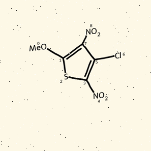 COc1sc([N+](=O)[O-])c(Cl)c1[N+](=O)[O-]